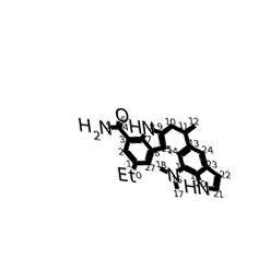 CCc1cc(C(N)=O)c2[nH]c(CC(C)c3cc(N(C)C)c4[nH]ccc4c3)cc2c1